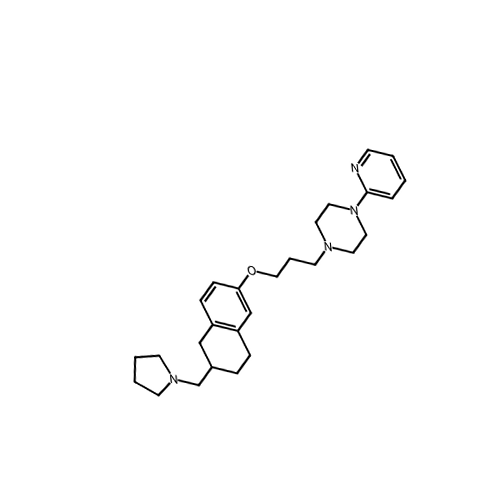 c1ccc(N2CCN(CCCOc3ccc4c(c3)CCC(CN3CCCC3)C4)CC2)nc1